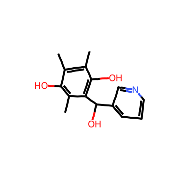 Cc1c(C)c(O)c(C(O)c2cccnc2)c(C)c1O